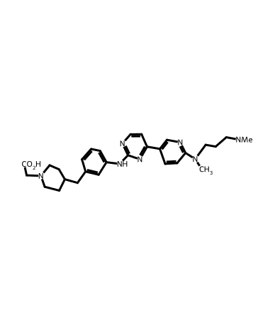 CNCCCN(C)c1ccc(-c2ccnc(Nc3cccc(CC4CCN(CC(=O)O)CC4)c3)n2)cn1